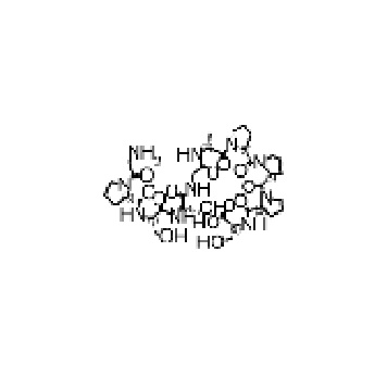 C[C@H](NC(=O)CNC(=O)[C@H](CO)NC(=O)[C@H](CO)NC(=O)[C@@H]1CCCN1C(=O)CN)C(=O)N1CCC[C@H]1C(=O)N1CCC[C@H]1C(=O)N1CCC[C@H]1C(=O)N[C@@H](CO)C(=O)O